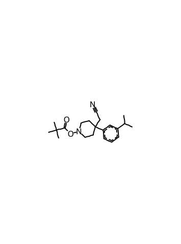 CC(C)c1cccc(C2(CC#N)CCN(OC(=O)C(C)(C)C)CC2)c1